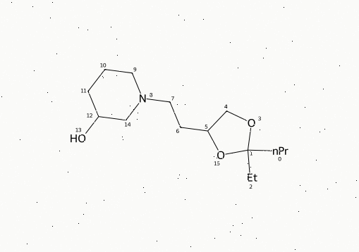 CCCC1(CC)OCC(CCN2CCCC(O)C2)O1